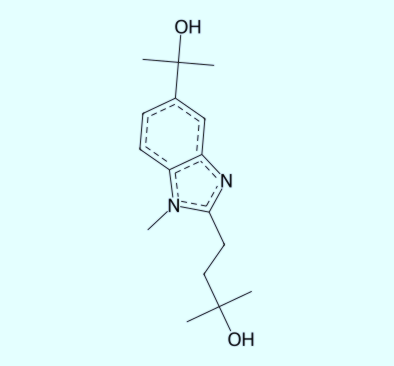 Cn1c(CCC(C)(C)O)nc2cc(C(C)(C)O)ccc21